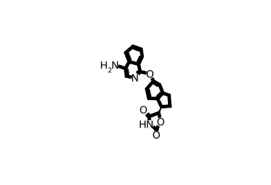 Nc1cnc(Oc2ccc3c(c2)CC[C@H]3C2OC(=O)NC2=O)c2ccccc12